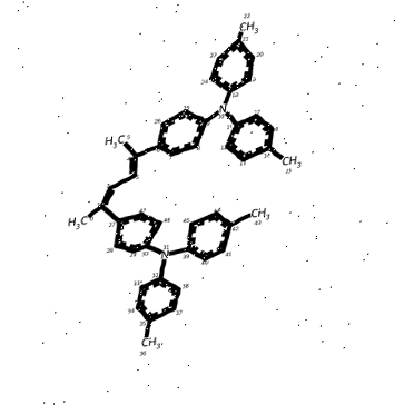 CC(=CC=C(C)c1ccc(N(c2ccc(C)cc2)c2ccc(C)cc2)cc1)c1ccc(N(c2ccc(C)cc2)c2ccc(C)cc2)cc1